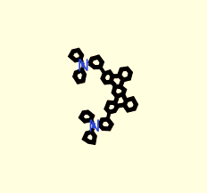 c1ccc(N(c2ccccc2)c2cccc(-c3ccc4c(c3)c3ccccc3c3cc5c6ccccc6c6cc(-c7cccc(N(c8ccccc8)c8ccccc8)c7)ccc6c5cc43)c2)cc1